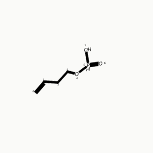 C=CCCO[PH](=O)O